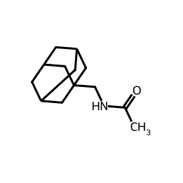 CC(=O)NCC12CC3CC(CC(C3)C1)C2